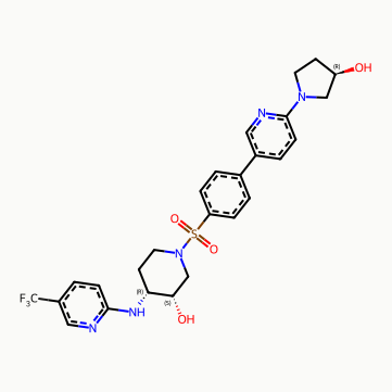 O=S(=O)(c1ccc(-c2ccc(N3CC[C@@H](O)C3)nc2)cc1)N1CC[C@@H](Nc2ccc(C(F)(F)F)cn2)[C@@H](O)C1